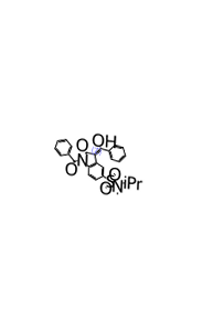 CC(C)N(C)S(=O)(=O)c1ccc2c(c1)/C(=C(/O)c1ccccc1)C(=O)N2C(=O)c1ccccc1